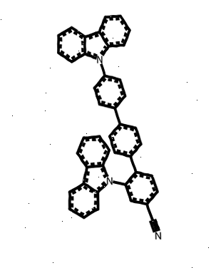 N#Cc1ccc(-c2ccc(-c3ccc(-n4c5ccccc5c5ccccc54)cc3)cc2)c(-n2c3ccccc3c3ccccc32)c1